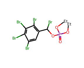 CCOP(=O)(OCC)OC(Br)c1cc(Br)c(Br)c(Br)c1Br